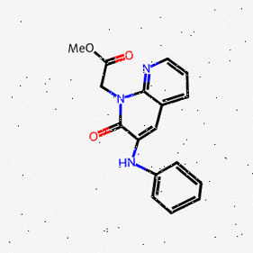 COC(=O)Cn1c(=O)c(Nc2ccccc2)cc2cccnc21